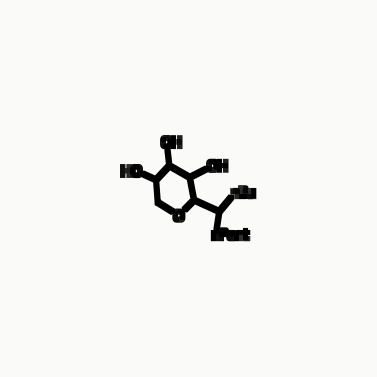 CCCCCC(CCCC)C1OCC(O)C(O)C1O